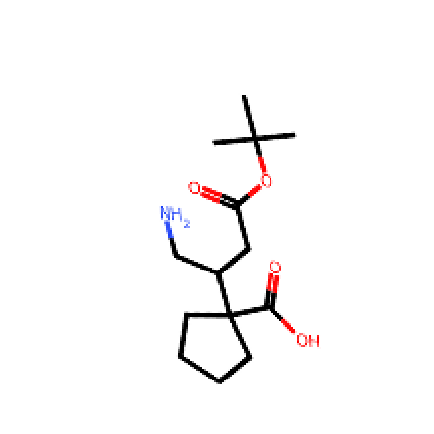 CC(C)(C)OC(=O)CC(CN)C1(C(=O)O)CCCC1